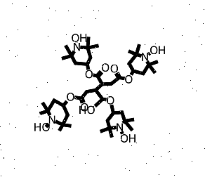 CC1(C)CC(OC(=O)CC(C(=O)OC2CC(C)(C)N(O)C(C)(C)C2)C(CC(=O)OC2CC(C)(C)N(O)C(C)(C)C2)C(O)OC2CC(C)(C)N(O)C(C)(C)C2)CC(C)(C)N1O